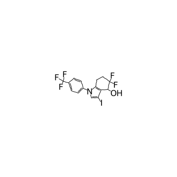 OC1c2c(I)cn(-c3ccc(C(F)(F)F)cc3)c2CCC1(F)F